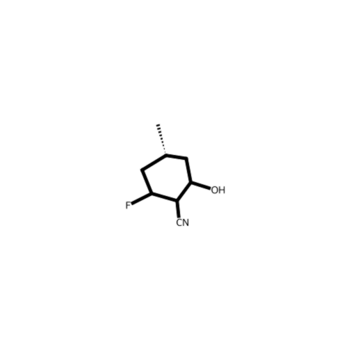 C[C@@H]1CC(O)C(C#N)C(F)C1